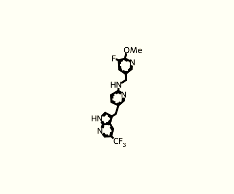 COc1ncc(CNc2ccc(Cc3c[nH]c4ncc(C(F)(F)F)cc34)cn2)cc1F